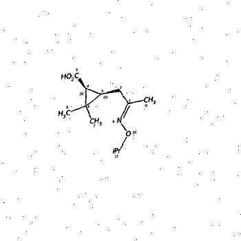 CC(C[C@@H]1[C@H](C(=O)O)C1(C)C)=NOC(C)C